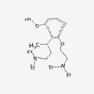 CCCOc1cccc(OCCN(CC)CC)c1C(C)CCN(CC)CC